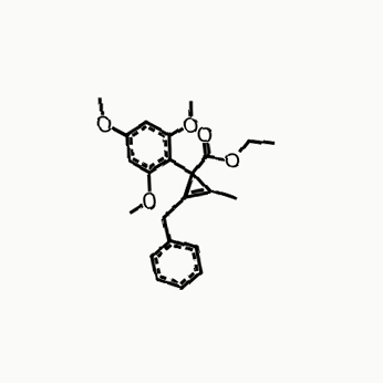 CCOC(=O)C1(c2c(OC)cc(OC)cc2OC)C(C)=C1Cc1ccccc1